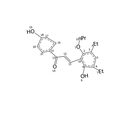 CCCOc1c(CC)cc(CC)c(O)c1C=CC(=O)c1ccc(O)cc1